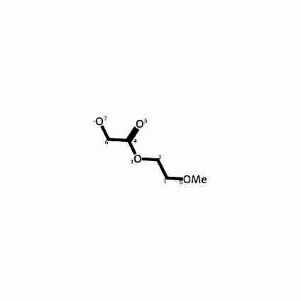 COCCOC(=O)C[O]